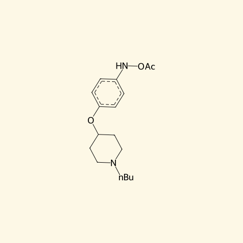 CCCCN1CCC(Oc2ccc(NOC(C)=O)cc2)CC1